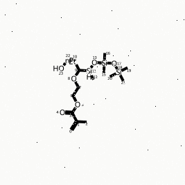 C=C(C)C(=O)OCCOC(CC)[SiH](C)O[Si](C)(C)O[Si](C)(C)C.CCCO